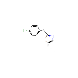 Cc1cnc(Cc2ccc(F)cc2)s1